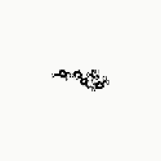 CNC(=O)[C@H](Cn1c(Cc2ccc(-c3cccc(OCc4ccc(C#N)cc4F)n3)cc2)nc2ccc(C(=O)O)cc21)OC